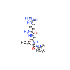 CC(C)C[C@H](NC(=O)[C@H](CC(=O)O)NC(=O)CNC(=O)[C@@H](N)CCCNC(=N)N)C(=O)O